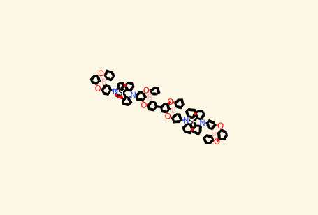 c1ccc2c(c1)Oc1cc(N3c4ccccc4[Si]4(c5ccccc53)c3ccccc3N(c3ccc5c(c3)B3c6ccccc6Oc6cccc(c63)O5)c3ccccc34)cc3c1B2c1cc(-c2cc4c5c(c2)Oc2ccc(N6c7ccccc7[Si]7(c8ccccc8N(c8ccc9c(c8)B8c%10ccccc%10Oc%10cccc(c%108)O9)c8ccccc87)c7ccccc76)cc2B5c2ccccc2O4)ccc1O3